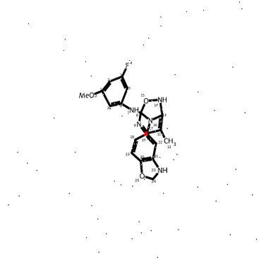 COc1cc(F)cc(NC23N=CC(C)=C(NO2)N3c2ccc3c(c2)NCO3)c1